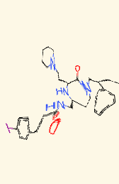 CC[C@H](CN1CC[C@@H](CNC(=O)/C=C/c2ccc(I)cc2)N[C@@H](CCN2CCCCC2)C1=O)c1ccccc1